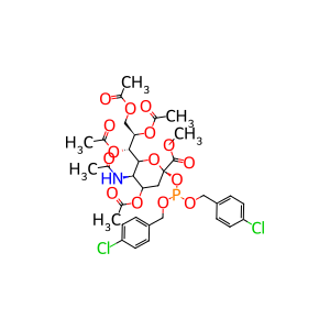 COC(=O)[C@]1(OP(OCc2ccc(Cl)cc2)OCc2ccc(Cl)cc2)CC(OC(C)=O)[C@@H](NC(C)=O)C([C@H](OC(C)=O)[C@@H](COC(C)=O)OC(C)=O)O1